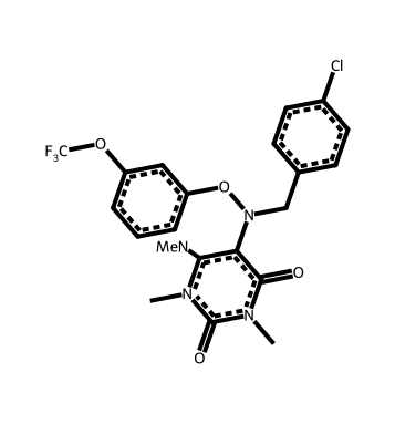 CNc1c(N(Cc2ccc(Cl)cc2)Oc2cccc(OC(F)(F)F)c2)c(=O)n(C)c(=O)n1C